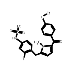 CCOc1ccc(C(=O)c2ccc(Cc3ccc(NS(=O)(=O)CC)cc3F)n2C)cc1